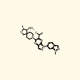 C[C@@H]1OCC2(CCN(c3nc4cnn(-c5ccc6cnn(C)c6c5)c4nc3C(F)F)CC2)[C@@H]1N